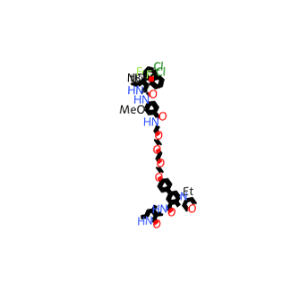 CCN(c1cc(-c2ccc(OCCOCCOCCOCCNC(=O)c3ccc(NC(=O)[C@@H]4NC(CC(C)(C)C)[C@](C#N)(c5ccc(Cl)cc5F)[C@@H]4c4cccc(Cl)c4F)c(OC)c3)cc2)cc(C(=O)NCc2c(C)cc(C)[nH]c2=O)c1C)C1CCOCC1